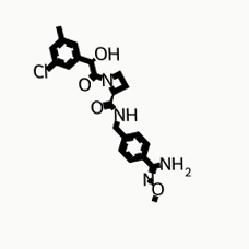 CO/N=C(\N)c1ccc(CNC(=O)[C@@H]2CCN2C(=O)[C@H](O)c2cc(C)cc(Cl)c2)cc1